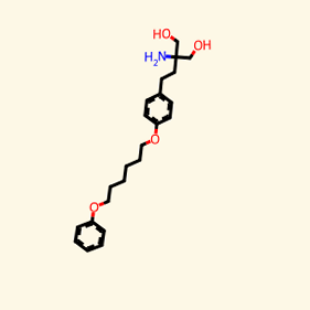 NC(CO)(CO)CCc1ccc(OCCCCCCOc2ccccc2)cc1